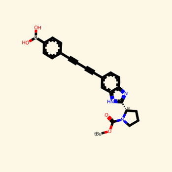 CC(C)(C)OC(=O)N1CCC[C@H]1c1nc2ccc(C#CC#Cc3ccc(B(O)O)cc3)cc2[nH]1